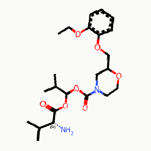 CCOc1ccccc1OCC1CN(C(=O)OC(OC(=O)[C@H](N)C(C)C)C(C)C)CCO1